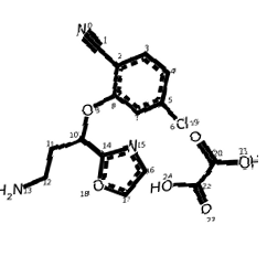 N#Cc1ccc(Cl)cc1OC(CCN)c1ncco1.O=C(O)C(=O)O